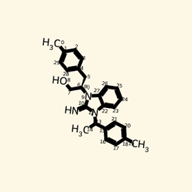 Cc1ccc(C[C@H](CO)n2c(=N)n(C(C)c3ccc(C)cc3)c3ccccc32)cc1